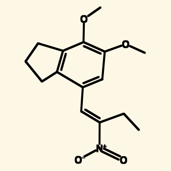 CC/C(=C\c1cc(OC)c(OC)c2c1CCC2)[N+](=O)[O-]